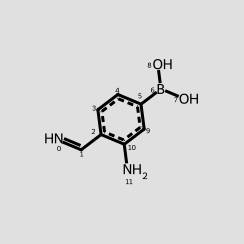 N=Cc1ccc(B(O)O)cc1N